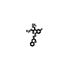 COC=C(C(=O)OC)c1cc(F)ccc1CON=C(C=O)Cc1ccccc1